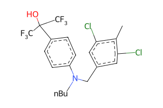 CCCCN(Cc1cc(Cl)c(C)c(Cl)c1)c1ccc(C(O)(C(F)(F)F)C(F)(F)F)cc1